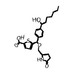 CCCCCCC(O)c1ccc(C(OCC2CCC(=O)N2)c2ccc(C(=O)O)s2)cc1